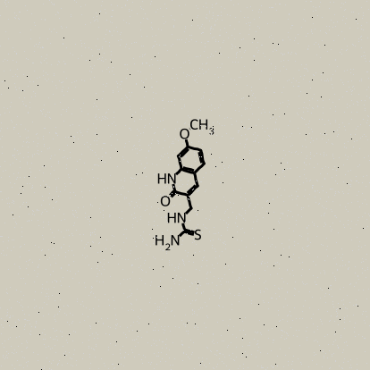 COc1ccc2cc(CNC(N)=S)c(=O)[nH]c2c1